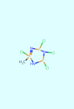 CP1(Cl)=NP(Cl)N(Cl)P(Cl)N1